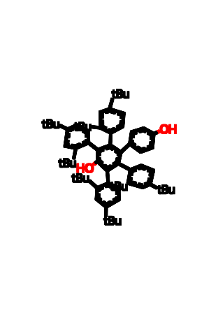 CC(C)(C)c1ccc(-c2c(O)c(-c3ccc(C(C)(C)C)cc3C(C)(C)C)c(-c3ccc(C(C)(C)C)cc3C(C)(C)C)c(-c3ccc(O)cc3)c2-c2ccc(C(C)(C)C)cc2C(C)(C)C)c(C(C)(C)C)c1